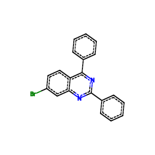 Brc1ccc2c(-c3ccccc3)nc(-c3ccccc3)nc2c1